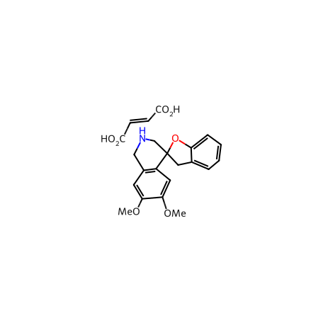 COc1cc2c(cc1OC)C1(CNC2)Cc2ccccc2O1.O=C(O)C=CC(=O)O